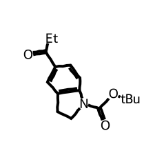 CCC(=O)c1ccc2c(c1)CCN2C(=O)OC(C)(C)C